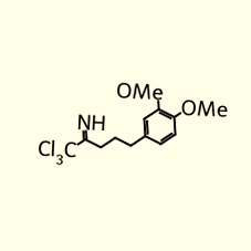 COc1ccc(CCCC(=N)C(Cl)(Cl)Cl)cc1OC